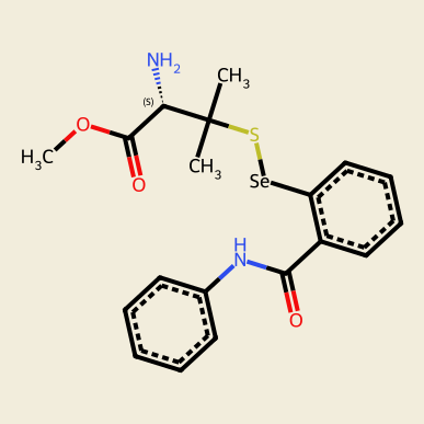 COC(=O)[C@H](N)C(C)(C)S[Se]c1ccccc1C(=O)Nc1ccccc1